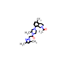 Cc1cc(C)n(CC(=O)N2CCN(c3ccc(C(F)(F)F)c4c3CN(C(=O)C(F)(F)F)CC4)CC2C)n1